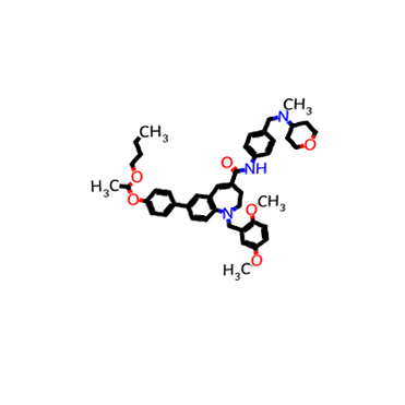 CCCCOC(C)Oc1ccc(-c2ccc3c(c2)C=C(C(=O)Nc2ccc(CN(C)C4CCOCC4)cc2)CCN3Cc2cc(OC)ccc2OC)cc1